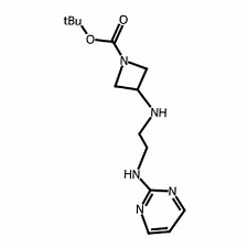 CC(C)(C)OC(=O)N1CC(NCCNc2ncccn2)C1